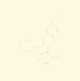 Nc1ncnc2c1nc(Sc1cc3c(cc1Br)OCO3)n2C1CCNCC1